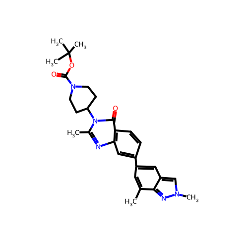 Cc1cc(-c2ccc3c(=O)n(C4CCN(C(=O)OC(C)(C)C)CC4)c(C)nc3c2)cc2cn(C)nc12